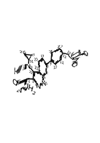 NC(=O)c1nnc2cc(-c3ccc(C[SH](=O)=O)cc3)ccc2c1NC1CC1